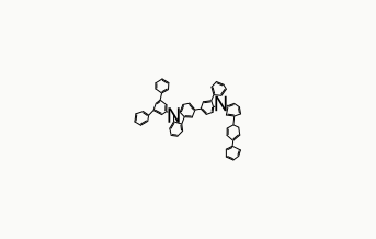 C1=CC(c2cccc(-n3c4ccccc4c4cc(-c5ccc6c(c5)c5ccccc5n6-c5cc(-c6ccccc6)cc(-c6ccccc6)c5)ccc43)c2)CC=C1c1ccccc1